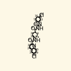 O=C(NN1CCC(C(=O)Nc2nc3cc(Cl)ccc3o2)CC1)c1ccc2cc(Cl)ccc2n1